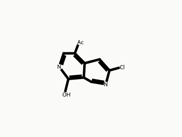 CC(=O)c1cnc(O)c2cnc(Cl)cc12